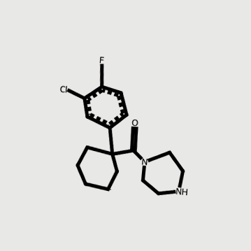 O=C(N1CCNCC1)C1(c2ccc(F)c(Cl)c2)C[CH]CCC1